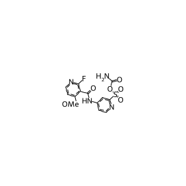 COc1ccnc(F)c1C(=O)Nc1ccnc(S(=O)(=O)OC(N)=O)c1